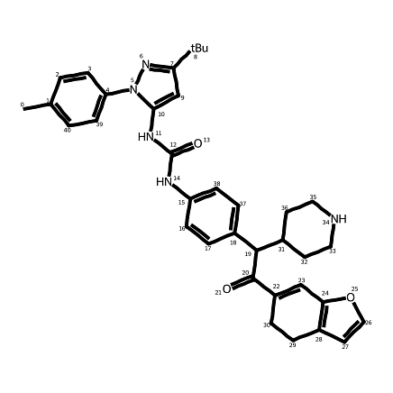 Cc1ccc(-n2nc(C(C)(C)C)cc2NC(=O)Nc2ccc(C(C(=O)C3=Cc4occc4CC3)C3CCNCC3)cc2)cc1